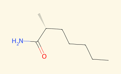 CCCCC[C@@H](C)C(N)=O